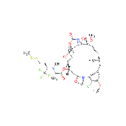 COc1cc2cc(c1Cl)N(C)C(=O)C[C@H](OC(=O)[C@H](C)N(C)[C@H](CCSSC)C(F)(F)F)[C@@]1(C)CC(C)(O1)[C@@H]1C[C@@](O)(NC(=O)O1)[C@H](OC)/C=C/C=C(\C)C2